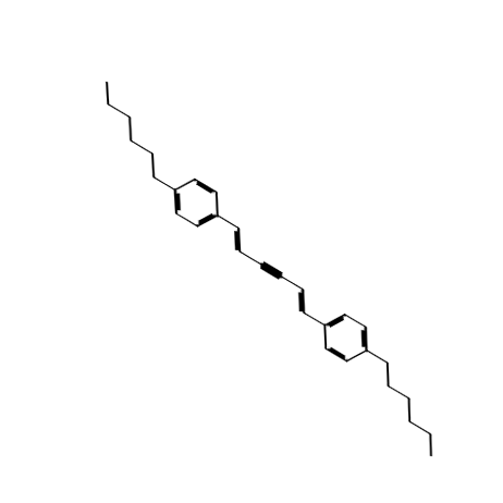 CCCCCCc1ccc(/C=C/C#C/C=C/c2ccc(CCCCCC)cc2)cc1